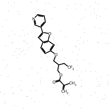 C=C(C)C(=O)OCC(COc1ccc2cc(-c3cccnc3)oc2c1)CC(F)(F)F